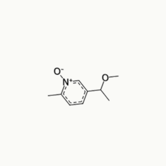 COC(C)c1ccc(C)[n+]([O-])c1